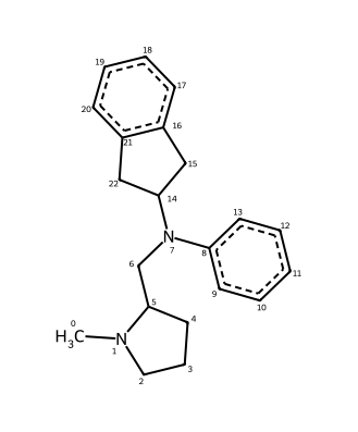 CN1CCCC1CN(c1ccccc1)C1Cc2ccccc2C1